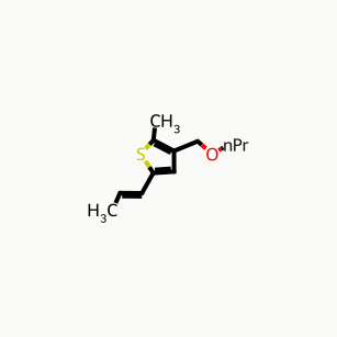 C/C=C/c1cc(COCCC)c(C)s1